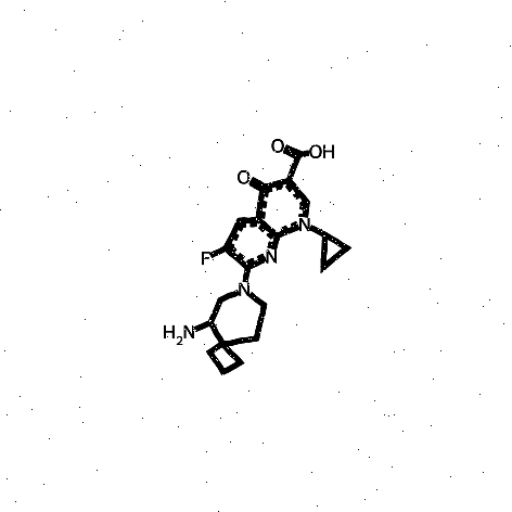 NC1CN(c2nc3c(cc2F)c(=O)c(C(=O)O)cn3C2CC2)CCC12CCC2